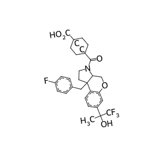 CC(O)(c1ccc2c(c1)OCC1N(C(=O)C34CCC(C(=O)O)(CC3)CC4)CCC21Cc1ccc(F)cc1)C(F)(F)F